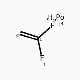 C=C(F)F.[PoH2]